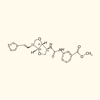 COC(=O)c1cccc(NC(=O)N[C@H]2CO[C@H]3[C@@H]2OC[C@@H]3C=Cc2ccsc2)c1